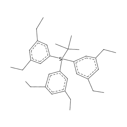 CCc1cc(CC)cc([Si](c2cc(CC)cc(CC)c2)(c2cc(CC)cc(CC)c2)C(C)(C)C)c1